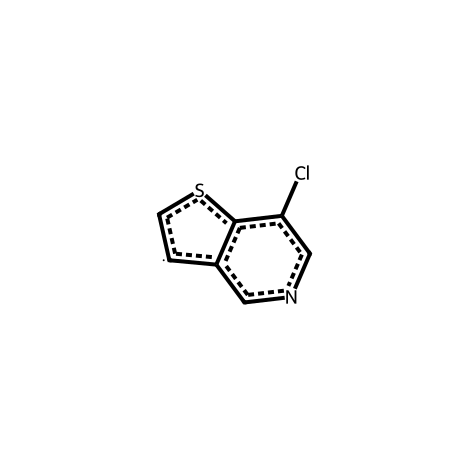 Clc1cncc2[c]csc12